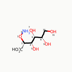 NO[C@@H](C(=O)O)[C@@H](O)[C@H](O)[C@@H](O)CO